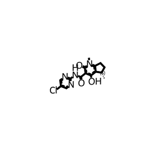 C[C@H]1CCc2c1c(O)c(C(=O)Nc1ncc(Cl)cn1)c(=O)n2C